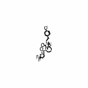 COc1ccc(CCn2nc3n(c2=O)[C@H](C(=O)N2CCC(F)(F)C2)CCC3)cc1